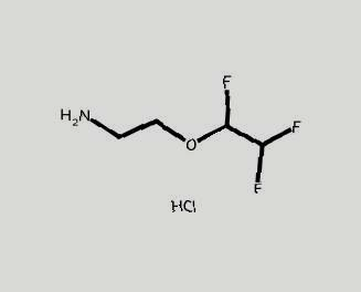 Cl.NCCOC(F)C(F)F